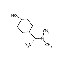 CN(C)[C@H](N)C1CCC(O)CC1